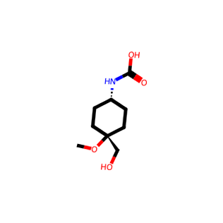 CO[C@]1(CO)CC[C@H](NC(=O)O)CC1